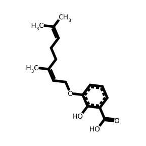 CC(C)=CCCC(C)=CCOc1cccc(C(=O)O)c1O